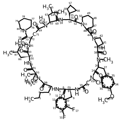 CCCCC1NC(=O)[C@H](Cc2cccc(F)c2F)NC(=O)CN(C)C(=O)C(Cc2ccc(OC)cc2)N(C)C(=O)[C@@H]2CCN2C(=O)[C@@H]2CCCCN2C(=O)[C@H](C2CCC2)NC(=O)C(CC(C)C)N(C)C(=O)C[C@@H](C(=O)N2CCCCC2)N(C)C(=O)[C@H](CC(C)C)NC(=O)C(C)(C)N(C)C1=O